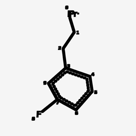 C[C](C)CCc1cccc(F)c1